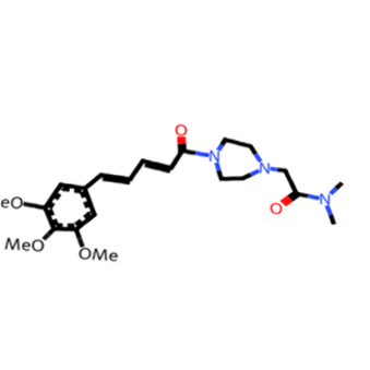 COc1cc(C=CC=CC(=O)N2CCN(CC(=O)N(C)C)CC2)cc(OC)c1OC